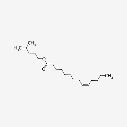 CCCC/C=C\CCCCCCCC(=O)OCCCC(C)C